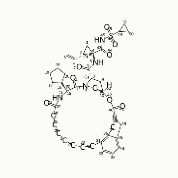 C=C[C@@H]1C[C@]1(NC(=O)[C@@H]1C[C@@H]2CN1C(=O)[C@H](C1CCCC1)NC(=O)OCCCCCCc1cccc3c1CN(C3)C(=O)O2)C(=O)NS(=O)(=O)C1CC1